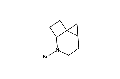 CC(C)(C)N1CCC2CC23CCC13